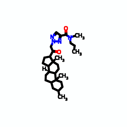 CCCN(C)C(=O)c1cnn(CC(=O)C2CCC3[C@@H]4CCC5CC(C)CCC5(C)C4CCC23C)n1